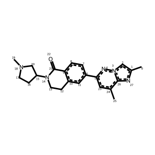 Cc1cn2nc(-c3ccc4c(c3)CCN(C3CCN(C)C3)C4=O)cc(C)c2n1